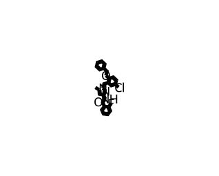 Cc1cc(NC(=O)c2ccccc2F)nn1Cc1cc(Cl)ccc1OCc1ccccc1